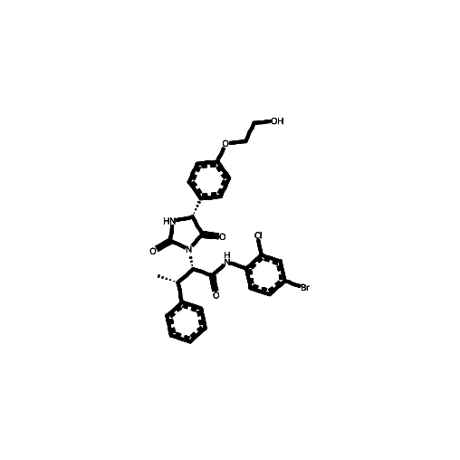 C[C@@H](c1ccccc1)[C@@H](C(=O)Nc1ccc(Br)cc1Cl)N1C(=O)N[C@H](c2ccc(OCCO)cc2)C1=O